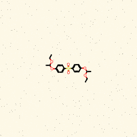 CCOC(C)Oc1ccc(S(=O)(=O)c2ccc(OC(C)OCC)cc2)cc1